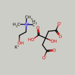 C[N+](C)(C)CCO.O=C([O-])CC(O)(CC(=O)[O-])C(=O)O.[K+]